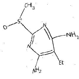 CCc1c(N)nc([S+](C)[O-])nc1N